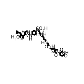 Cn1ncc(-c2nc(NC3CCC(N(CC(=O)NCCCCNCC(=O)NCc4cc5c(s4)C(=O)N(C4CCC(=O)NC4=O)C5)C(=O)O)CC3)ncc2F)c1CC1CC1